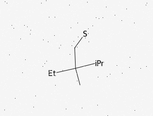 CCC(C)(C[S])C(C)C